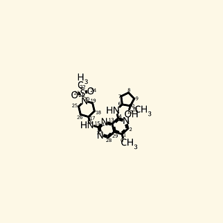 Cc1cnc(NC2CCC[C@@]2(C)O)c2nc(NC3CCN(S(C)(=O)=O)CC3)ncc12